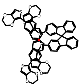 c1ccc2c(c1)-c1ccc(N(c3ccc(-c4scc5c4OCCO5)cc3)c3ccc(-c4scc5c4OCCO5)cc3)cc1C21c2ccccc2-c2ccc(N(c3ccc(-c4scc5c4OCCO5)cc3)c3ccc(-c4scc5c4OCCO5)cc3)cc21